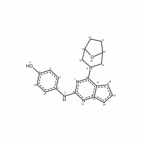 Oc1ccc(Nc2nc(N3CC4CCC(C3)O4)c3sccc3n2)cc1